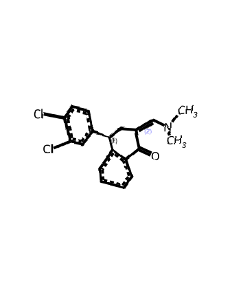 CN(C)/C=C1/C[C@H](c2ccc(Cl)c(Cl)c2)c2ccccc2C1=O